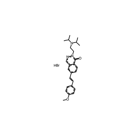 Br.COc1ccc(/C=C/c2ccc3c(=O)n(CCN(C(C)C)C(C)C)ncc3c2)cc1